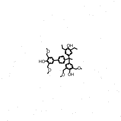 CCc1cc(C(C)(c2ccc(-c3cc(COC)c(O)c(COC)c3)cc2)c2cc(COC)c(O)c(COC)c2)cc(CC)c1O